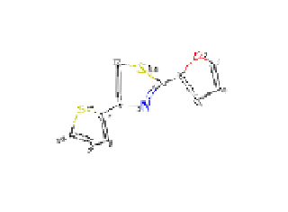 c1coc(-c2nc(-c3cccs3)cs2)c1